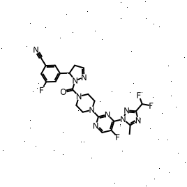 Cc1nc(C(F)F)nn1-c1nc(N2CCN(C(=O)N3N=CCC3c3cc(F)cc(C#N)c3)CC2)ncc1F